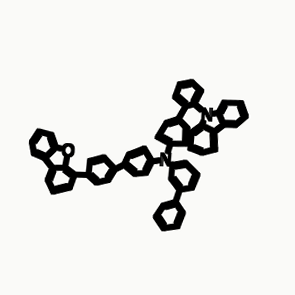 c1ccc(-c2cccc(N(c3ccc(-c4ccc(-c5cccc6c5oc5ccccc56)cc4)cc3)c3ccc(-c4ccccc4-n4c5ccccc5c5ccccc54)cc3)c2)cc1